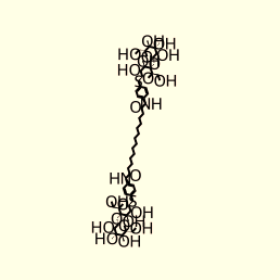 O=C(CCCCCCCCCCCCC(=O)Nc1ccc(S[C@@H]2O[C@H](CO)[C@@H](O[C@@H]3O[C@H](CO)[C@@H](O)[C@H](O)[C@H]3O)[C@H](O)[C@H]2O)cc1)Nc1ccc(S[C@@H]2O[C@H](CO)[C@@H](O[C@@H]3O[C@H](CO)[C@@H](O)[C@H](O)[C@H]3O)[C@H](O)[C@H]2O)cc1